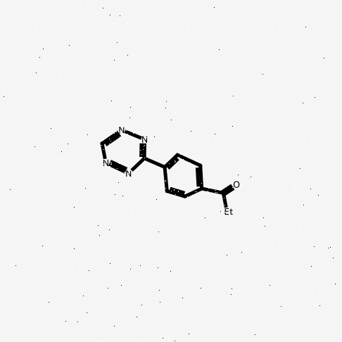 CCC(=O)c1ccc(-c2nncnn2)cc1